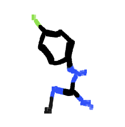 CCN=C(N)Nc1ccc(F)cc1